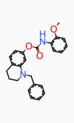 COc1ccccc1NC(=O)Oc1ccc2c(c1)N(Cc1ccccc1)CCC2